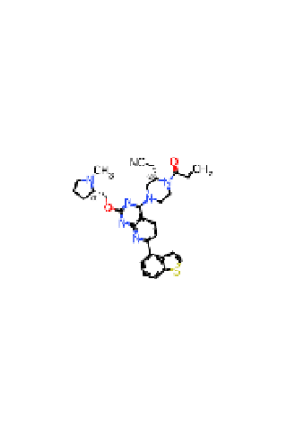 C=CC(=O)N1CCN(c2nc(OC[C@@H]3CCCN3C)nc3nc(-c4cccc5sccc45)ccc23)C[C@@H]1CC#N